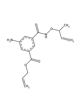 C=CCOC(=O)c1cc(N)cc(C(=O)NOC(C)C=C)c1